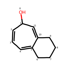 OC1C=CC=C2CCCCC2=C1